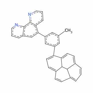 Cc1cc(C2=CC=C3C=CC4=CC=CC5=CC=C2C3C45)cc(-c2cc3cccnc3c3ncccc23)c1